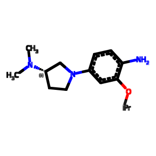 CC(C)Oc1cc(N2CC[C@H](N(C)C)C2)ccc1N